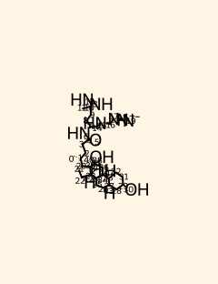 C[C@H](CCC(=O)NC(CCC1(C)NN1)CNCN=[N+]=[N-])[C@H]1CC[C@H]2[C@@H]3CC[C@@H]4C[C@H](O)CC[C@]4(C)[C@H]3CC(O)[C@]12C